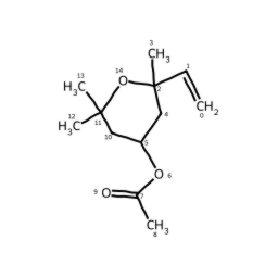 C=CC1(C)CC(OC(C)=O)CC(C)(C)O1